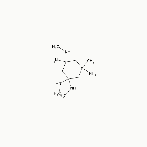 CNC1(N)CC(C)(N)CC(NC)(NC)C1